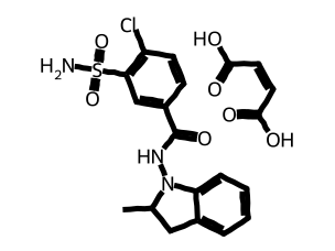 CC1Cc2ccccc2N1NC(=O)c1ccc(Cl)c(S(N)(=O)=O)c1.O=C(O)/C=C\C(=O)O